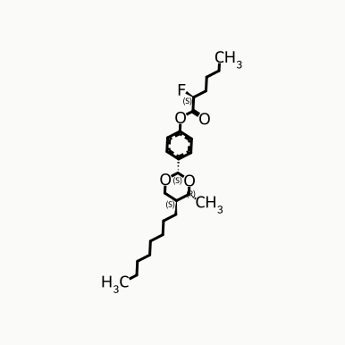 CCCCCCCC[C@H]1CO[C@H](c2ccc(OC(=O)[C@@H](F)CCCC)cc2)O[C@@H]1C